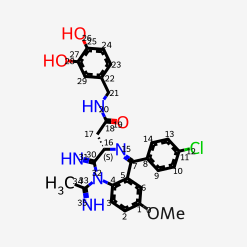 COc1ccc2c(c1)C(c1ccc(Cl)cc1)=N[C@@H](CC(=O)NCc1ccc(O)c(O)c1)C(=N)N2C(C)=N